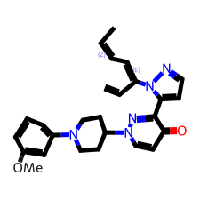 C=C/C(=C\C=C/C)n1nccc1-c1nn(C2CCN(c3cccc(OC)c3)CC2)ccc1=O